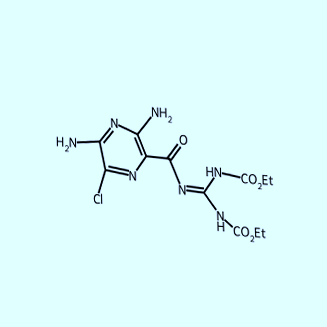 CCOC(=O)NC(=NC(=O)c1nc(Cl)c(N)nc1N)NC(=O)OCC